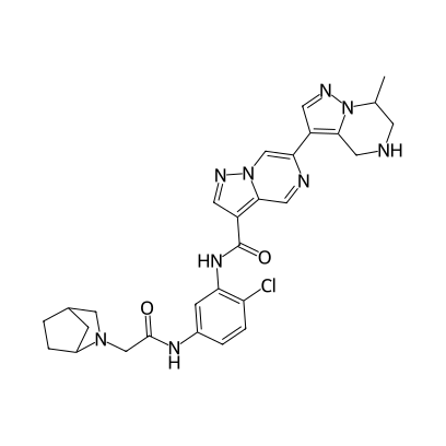 CC1CNCc2c(-c3cn4ncc(C(=O)Nc5cc(NC(=O)CN6CC7CCC6C7)ccc5Cl)c4cn3)cnn21